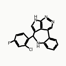 Fc1ccc(C2Nc3ccccc3-c3cnnc4[nH]cc2c34)c(Cl)c1